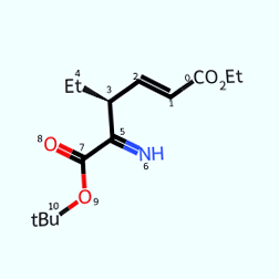 CCOC(=O)C=C[C@H](CC)C(=N)C(=O)OC(C)(C)C